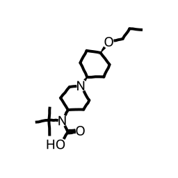 CCCO[C@H]1CC[C@@H](N2CCC(N(C(=O)O)C(C)(C)C)CC2)CC1